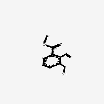 C=Cc1c([CH]O)cccc1C(=O)OC